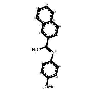 COc1ccc(N=C(C)c2ccc3ccccc3c2)cc1